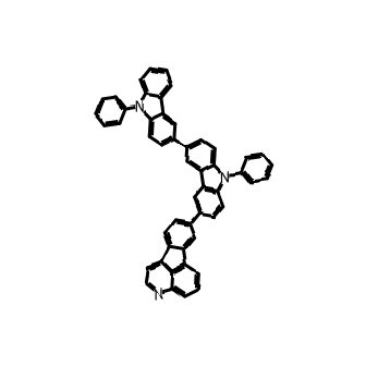 c1ccc(-n2c3ccccc3c3cc(-c4ccc5c(c4)c4cc(-c6ccc7c(c6)-c6cccc8nccc-7c68)ccc4n5-c4ccccc4)ccc32)cc1